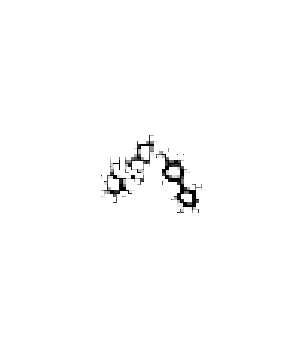 Cc1ccncc1[S@+]([O-])N[C@@H]1CCN(Cc2ccc(-c3ccccc3)cc2)C1